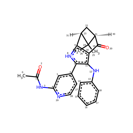 CC(=O)Nc1cc(-c2[nH]c3c(c2Nc2ccccc2)C(=O)[C@@H]2C[C@H]3C2(C)C)ccn1